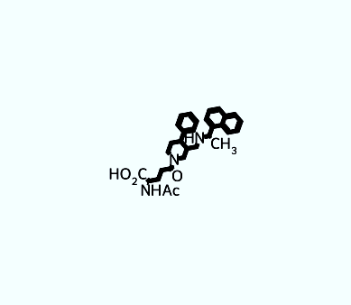 CC(=O)N[C@@H](CCC(=O)N1CCC(c2ccccc2)C(CN[C@H](C)c2cccc3ccccc23)C1)C(=O)O